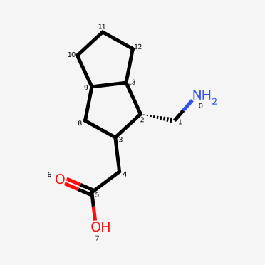 NC[C@@H]1C(CC(=O)O)CC2CCCC21